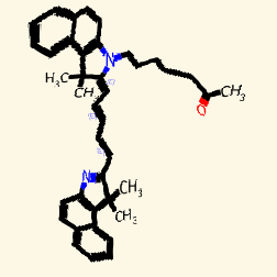 CC(=O)CCCCCN1/C(=C/C=C/C=C/C2=Nc3ccc4ccccc4c3C2(C)C)C(C)(C)c2c1ccc1ccccc21